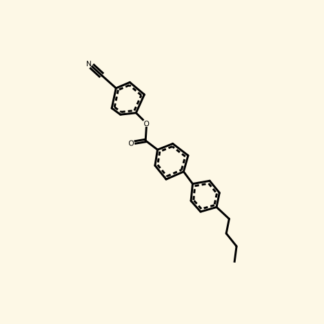 CCCCc1ccc(-c2ccc(C(=O)Oc3ccc(C#N)cc3)cc2)cc1